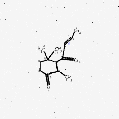 C/C=C/C(=O)C1C(C)C(=O)CCC1(C)C